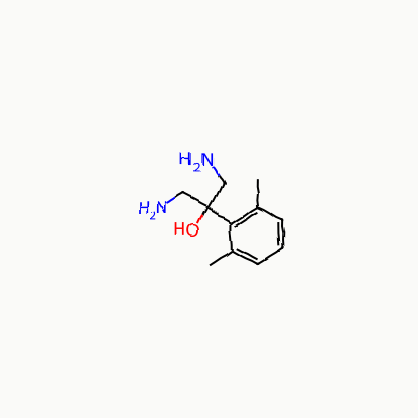 Cc1cccc(C)c1C(O)(CN)CN